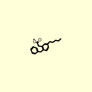 CCCCCc1ccc(Cc2ccccc2)c(CC(=O)OC)c1